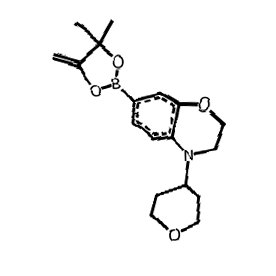 C=C1OB(c2ccc3c(c2)OCCN3C2CCOCC2)OC1(C)C